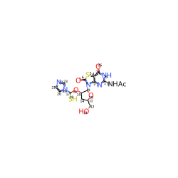 CC(=O)Nc1nc2c(sc(=O)n2C2OC(CO)C[C@H]2OC(S)n2ccnc2)c(=O)[nH]1